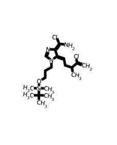 C=C(Cl)C(C)C/C=c1/c(=C(\N)Cl)ncn1CCCO[Si](C)(C)C(C)(C)C